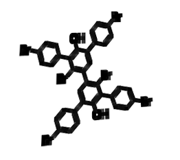 Oc1c(-c2ccc(Br)cc2)cc(-c2cc(-c3ccc(Br)cc3)c(O)c(-c3ccc(Br)cc3)c2Br)c(Br)c1-c1ccc(Br)cc1